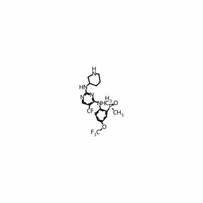 CP(C)(=O)c1cc(OC(F)(F)F)ccc1Nc1nc(NC2CCCNC2)ncc1C(F)(F)F